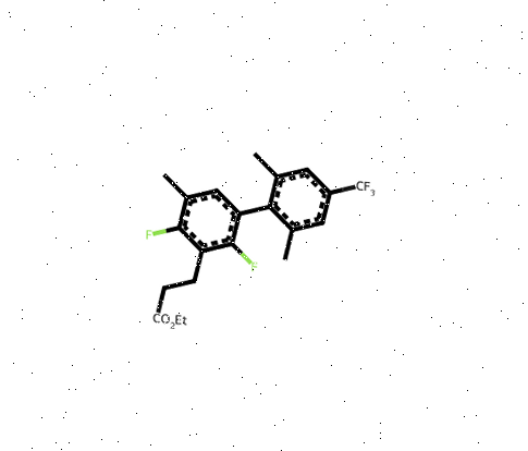 CCOC(=O)CCc1c(F)c(C)cc(-c2c(C)cc(C(F)(F)F)cc2C)c1F